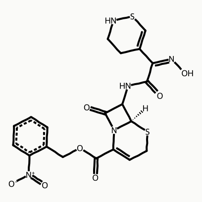 O=C(OCc1ccccc1[N+](=O)[O-])C1=CCS[C@@H]2C(NC(=O)/C(=N\O)C3=CSNCC3)C(=O)N12